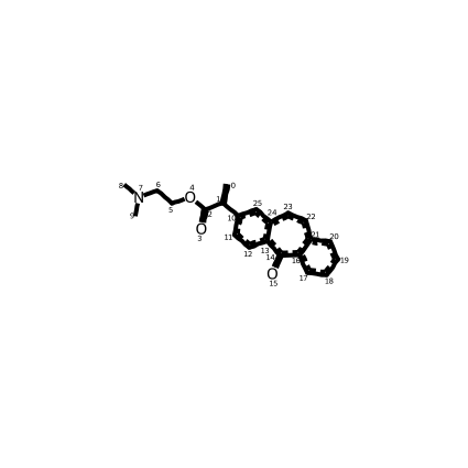 C=C(C(=O)OCCN(C)C)c1ccc2c(=O)c3ccccc3ccc2c1